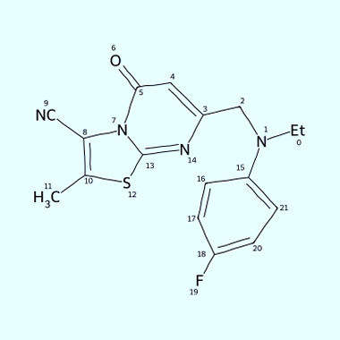 CCN(Cc1cc(=O)n2c(C#N)c(C)sc2n1)c1ccc(F)cc1